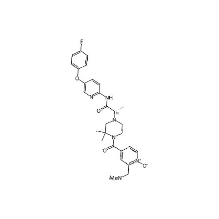 CNCc1cc(C(=O)N2CCN([C@@H](C)C(=O)Nc3ccc(Oc4ccc(F)cc4)cn3)CC2(C)C)cc[n+]1[O-]